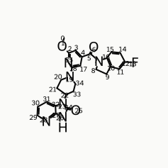 COc1cc(C(=O)N2CCc3cc(F)ccc32)cc(N2CCC(n3c(=O)[nH]c4ncccc43)CC2)n1